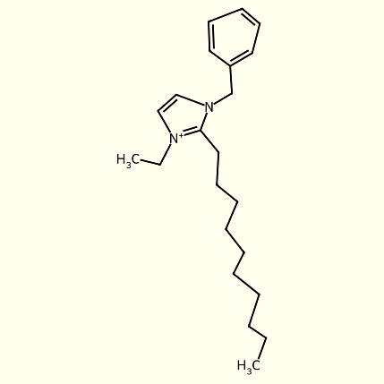 CCCCCCCCCCc1n(Cc2ccccc2)cc[n+]1CC